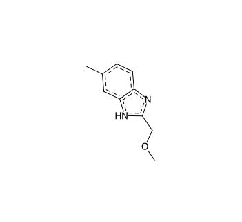 COCc1nc2c[c]c(C)cc2[nH]1